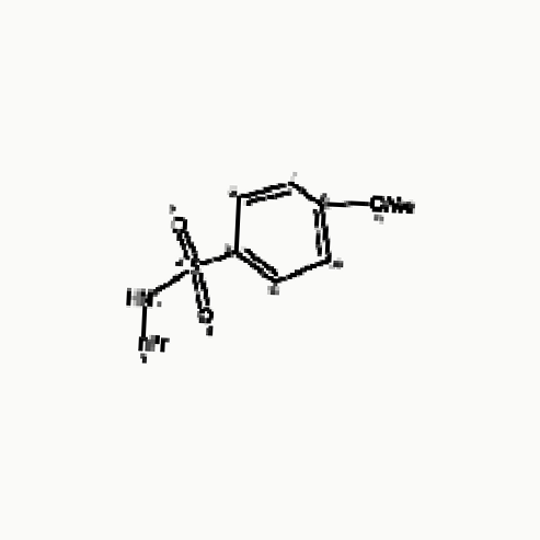 CCCNS(=O)(=O)c1ccc(OC)cc1